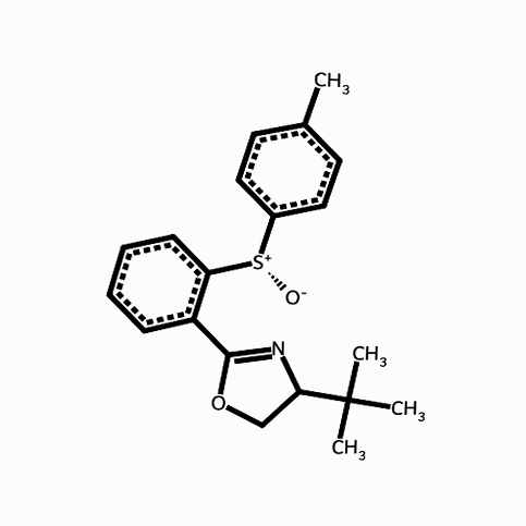 Cc1ccc([S@+]([O-])c2ccccc2C2=NC(C(C)(C)C)CO2)cc1